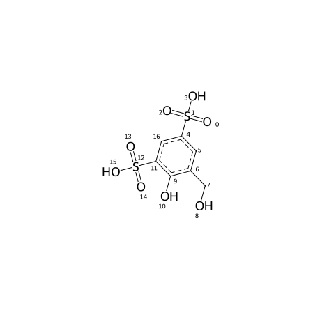 O=S(=O)(O)c1cc(CO)c(O)c(S(=O)(=O)O)c1